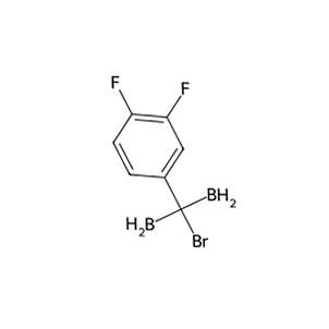 BC(B)(Br)c1ccc(F)c(F)c1